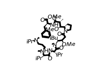 CC[C@H](C)[C@@H]([C@@H](CC(=O)N1CCC[C@H]1[C@H](OC)[C@@H](C)C(=O)N[C@@H](Cc1ccccc1)C(=O)OC)OC)N(C)C(=O)[C@@H](NC(=O)[C@H](C(C)C)N(C)CCCN(C)C(C)C)C(C)C